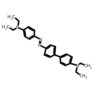 CCN(CC)c1ccc(N=Nc2ccc(-c3ccc(N(CC)CC)cc3)cc2)cc1